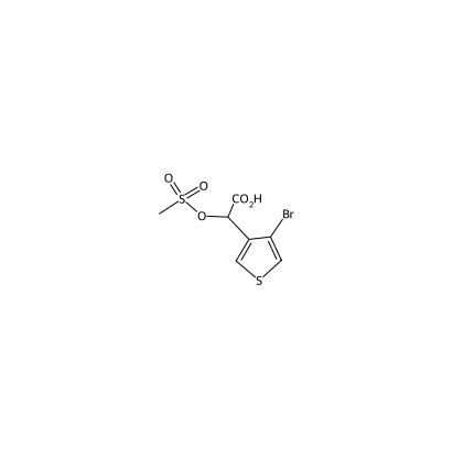 CS(=O)(=O)OC(C(=O)O)c1cscc1Br